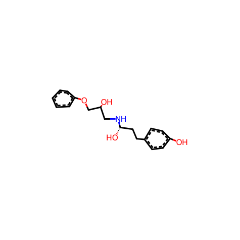 Oc1ccc(CC[C@H](O)NCC(O)COc2ccccc2)cc1